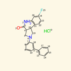 Cl.NC(=O)C1CN(c2cccc(-c3ccccc3)c2)CC1c1ccc(F)cc1